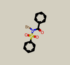 O=C(c1ccccc1)N(Br)S(=O)(=O)c1ccccc1